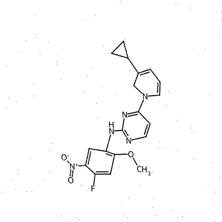 COc1cc(F)c([N+](=O)[O-])cc1Nc1nccc(N2C=CC=C(C3CC3)C2)n1